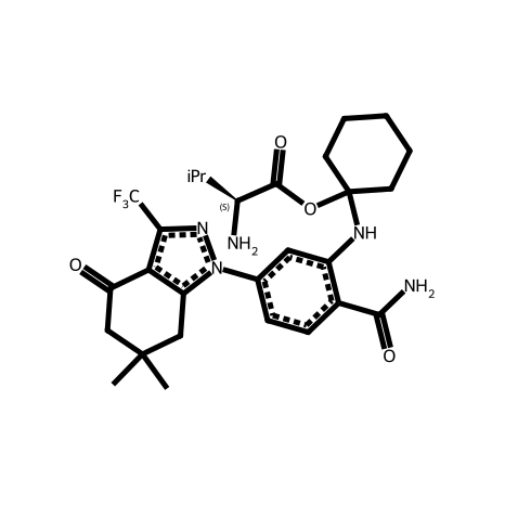 CC(C)[C@H](N)C(=O)OC1(Nc2cc(-n3nc(C(F)(F)F)c4c3CC(C)(C)CC4=O)ccc2C(N)=O)CCCCC1